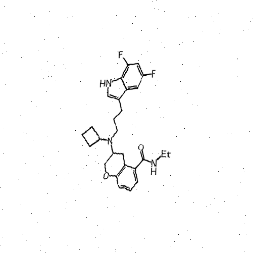 CCNC(=O)c1cccc2c1CC(N(CCCc1c[nH]c3c(F)cc(F)cc13)C1CCC1)CO2